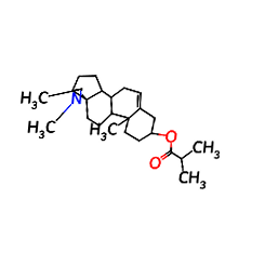 CC(C)C(=O)OC1CCC2(C)C(=CCC3C2CCC24CN(C)C(C)C2CCC34)C1